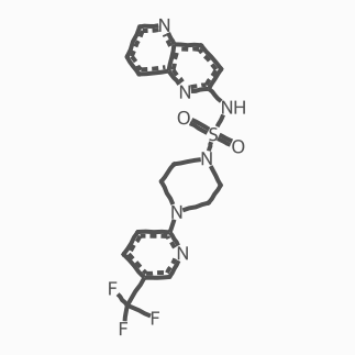 O=S(=O)(Nc1ccc2ncccc2n1)N1CCN(c2ccc(C(F)(F)F)cn2)CC1